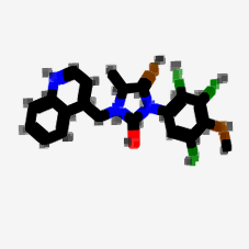 CSc1c(F)cc(N2C(=O)N(Cc3ccnc4ccccc34)C(C)C2=S)c(F)c1F